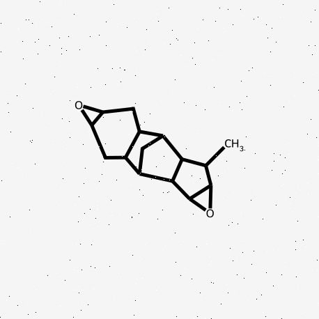 CC1C2OC2C2C3CC(C4CC5OC5CC43)C12